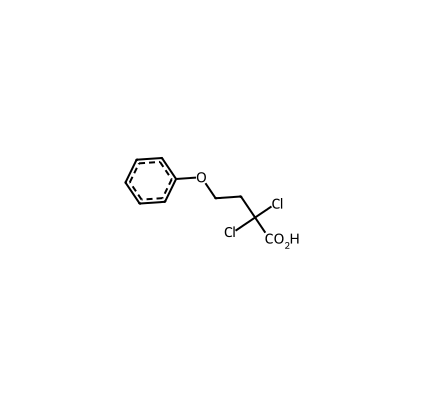 O=C(O)C(Cl)(Cl)CCOc1ccccc1